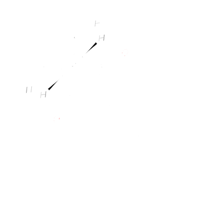 CC(C)=C1[C@H]2CC[C@@H]1[C@H]1C(=O)C(c3c(C)cc(C)cc3C)C(=O)[C@H]12